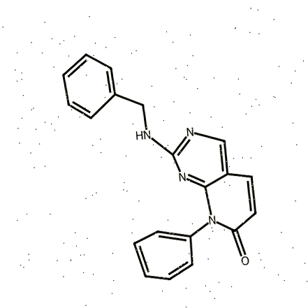 O=c1ccc2cnc(NCc3ccccc3)nc2n1-c1ccccc1